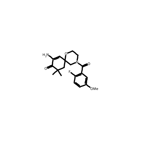 COc1ccc(F)c(C(=O)N2CCOC3(C=C(N)C(=O)C(C)(C)C3)C2)c1